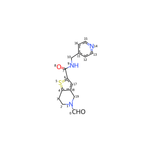 O=CN1CCc2sc(C(=O)NCc3ccncc3)cc2C1